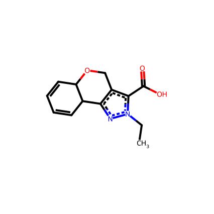 CCn1nc2c(c1C(=O)O)COC1C=CC=CC21